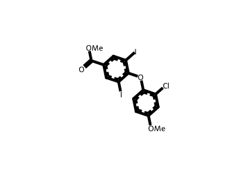 COC(=O)c1cc(I)c(Oc2ccc(OC)cc2Cl)c(I)c1